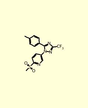 Cc1ccc(-c2nc(C(F)(F)F)nn2-c2ccc(S(C)(=O)=O)nc2)cc1